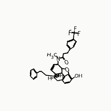 CN(C(=O)CCc1ccc(C(F)(F)F)cc1)C1C=C[C@@]2(O)[C@H]3Cc4ccc(O)c5c4[C@@]2(CCN3CCc2ccccc2)C1O5